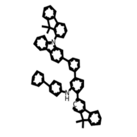 CC1(C)c2ccccc2-c2cc(-c3ccc(-c4cccc(-c5ccc6c7ccccc7n(-c7cccc8c7C(C)(C)c7ccccc7-8)c6c5)c4)cc3Nc3ccc(-c4ccccc4)cc3)ccc21